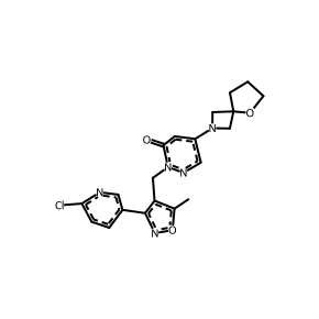 Cc1onc(-c2ccc(Cl)nc2)c1Cn1ncc(N2CC3(CCCO3)C2)cc1=O